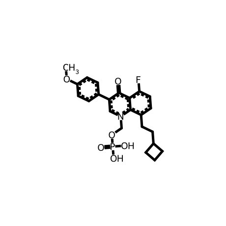 COc1ccc(-c2cn(COP(=O)(O)O)c3c(CCC4CCC4)ccc(F)c3c2=O)cc1